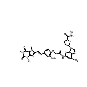 CCNC(=O)C1CCC(n2cnc3c(N)nc(NC(=O)COc4ccc(/C=C/c5nc6c(c(=O)n(C)c(=O)n6CC)n5C)cc4OC)nc32)O1